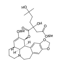 COC(=O)CC(O)(CCC(C)(C)O)C(=O)O[C@@H]1C(OC)=C[C@H]2CCCN3CCc4cc5c(cc4[C@H]1[C@H]23)OCO5